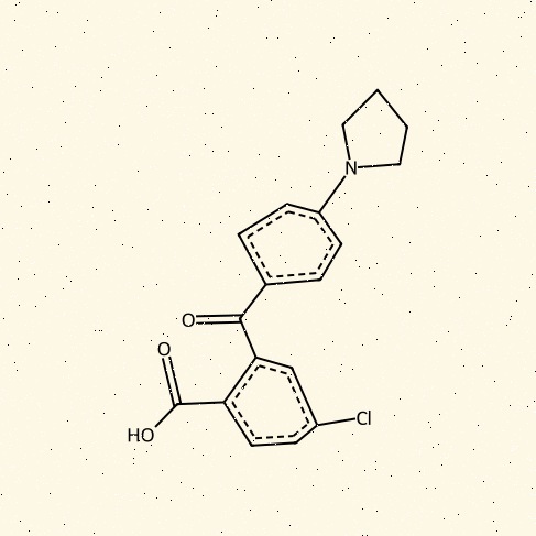 O=C(O)c1ccc(Cl)cc1C(=O)c1ccc(N2CCCC2)cc1